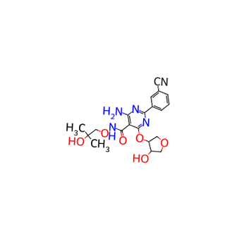 CC(C)(O)CONC(=O)c1c(N)nc(-c2cccc(C#N)c2)nc1OC1COCC1O